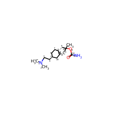 CN(C)CC[C@H]1CC[C@H](CC(C)(C)OC(N)=O)CC1